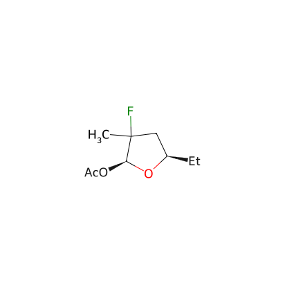 CC[C@@H]1CC(C)(F)[C@H](OC(C)=O)O1